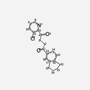 O=C(CCC(=O)c1ncccc1Cl)c1ccc2c(c1)CCCC2